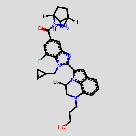 CCC1CN(CCCO)c2cccc3cc(-c4nc5cc(C(=O)N6C[C@H]7CC[C@@H]6[C@@H]7N)cc(F)c5n4CC4CC4)n1c23